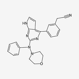 N#CCc1cccc(-c2nc(N(c3ccccc3)N3CCOCC3)nc3[nH]ccc23)c1